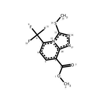 COC(=O)c1ccc(C(F)(F)F)n2c(SC)nnc12